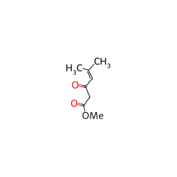 COC(=O)CC(=O)C=C(C)C